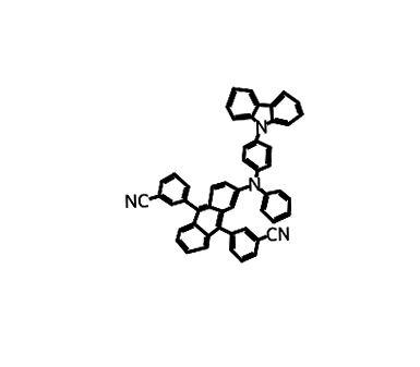 N#Cc1cccc(-c2c3ccccc3c(-c3cccc(C#N)c3)c3cc(N(c4ccccc4)c4ccc(-n5c6ccccc6c6ccccc65)cc4)ccc23)c1